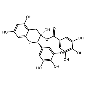 O=C(O[C@]1(O)Cc2c(O)cc(O)cc2O[C@@H]1c1cc(O)c(O)c(O)c1)c1cc(O)c(O)c(O)c1